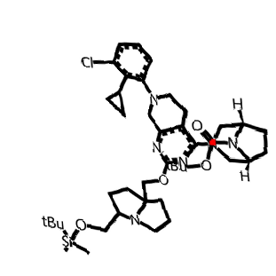 CC(C)(C)OC(=O)N1[C@@H]2CC[C@H]1CN(c1nc(OCC34CCCN3C(CO[Si](C)(C)C(C)(C)C)CC4)nc3c1CCN(c1cccc(Cl)c1C1CC1)C3)C2